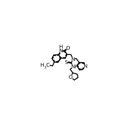 CCc1ccc2[nH]c(=O)c(CN(Cc3cccnc3)C(=S)NCC3CCCO3)cc2c1